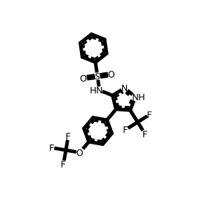 O=S(=O)(Nc1n[nH]c(C(F)(F)F)c1-c1ccc(OC(F)(F)F)cc1)c1ccccc1